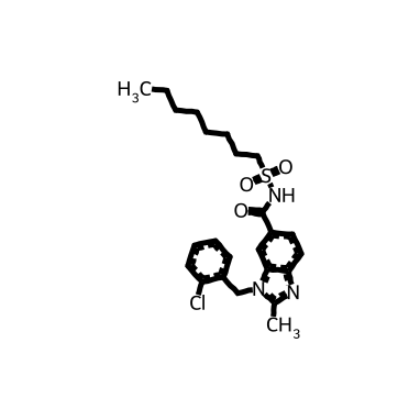 CCCCCCCCS(=O)(=O)NC(=O)c1ccc2nc(C)n(Cc3ccccc3Cl)c2c1